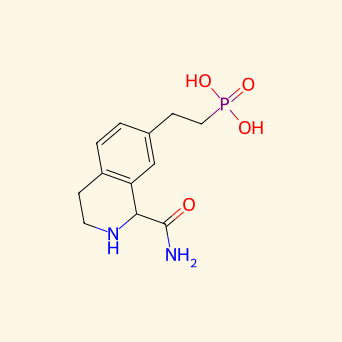 NC(=O)C1NCCc2ccc(CCP(=O)(O)O)cc21